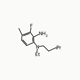 CCN(CCC(C)C)c1ccc(C)c(F)c1N